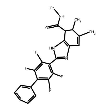 CC1=Cc2nc(-c3c(F)c(F)c(-c4ccccc4)c(F)c3F)[nH]c2C(C(=O)NC(C)C)C1C